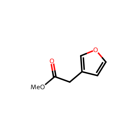 [CH2]OC(=O)Cc1ccoc1